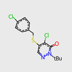 CC(C)(C)n1ncc(SCc2ccc(Cl)cc2)c(Cl)c1=O